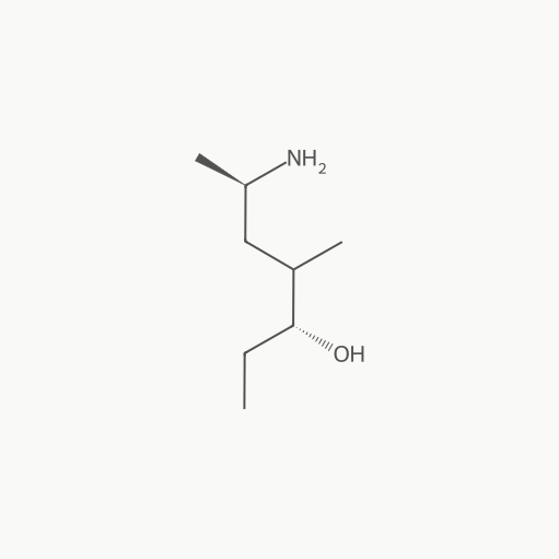 CC[C@@H](O)C(C)C[C@@H](C)N